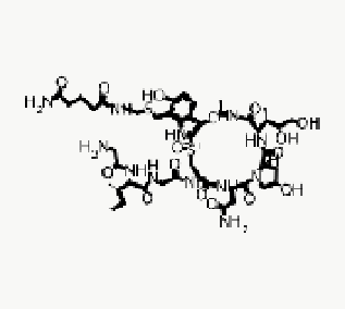 CC[C@H](C)[C@H](NC(=O)CN)C(=O)NCC(=O)NC1C[S+]([O-])c2[nH]c3c(CSCCNC(=O)CCCC(N)=O)c(O)ccc3c2C[C@@H](C)NC(=O)C([C@@H](C)[C@@H](O)CO)NC(=O)[C@@H]2C[C@@H](O)CN2C(=O)C(CC(N)=O)NC1=O